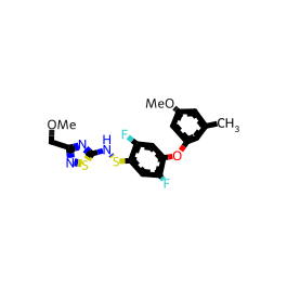 COCc1nsc(NSc2cc(F)c(Oc3cc(C)cc(OC)c3)cc2F)n1